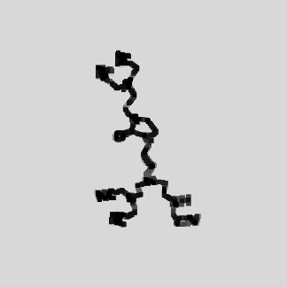 N#CCNCCN(CCN(CC#N)CC#N)CCN1CCN(CCN(CC#N)CC#N)C1=O